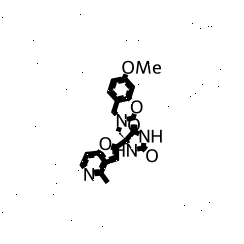 COc1ccc2c(c1)OCN(C[C@@]1(c3cc4c(C)nccc4o3)NC(=O)NC1=O)C2